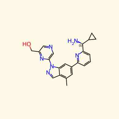 Cc1cc(-c2cccc([C@@H](N)C3CC3)n2)cc2c1cnn2-c1cncc(CO)n1